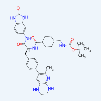 Cc1nc2c(cc1-c1ccc(C[C@H](NC(=O)C3CCC(CNC(=O)OC(C)(C)C)CC3)C(=O)Nc3ccc4[nH]c(=O)[nH]c4c3)cc1)NCCN2